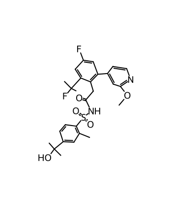 COc1cc(-c2cc(F)cc(C(C)(C)F)c2CC(=O)NS(=O)(=O)c2ccc(C(C)(C)O)cc2C)ccn1